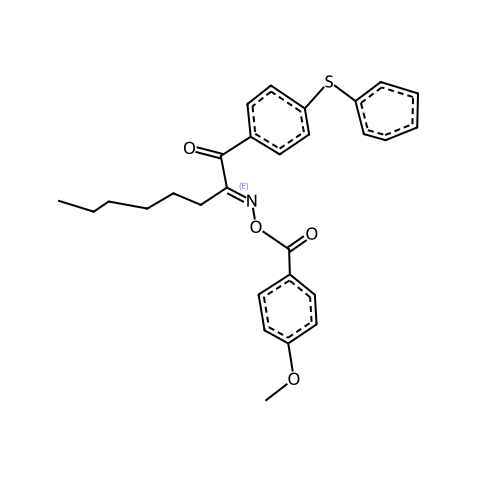 CCCCCC/C(=N\OC(=O)c1ccc(OC)cc1)C(=O)c1ccc(Sc2ccccc2)cc1